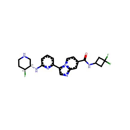 O=C(NC1CC(F)(F)C1)c1ccn2c(-c3cccc(N[C@H]4CNCC[C@@H]4F)n3)cnc2c1